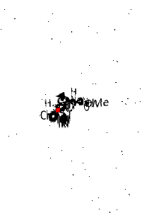 COC(=O)Nc1ccc(-c2cnc(C(CC3(C)CC3)c3ccc(-c4cc(Cl)ccc4-n4cnnn4)c[n+]3[O-])[nH]2)cc1